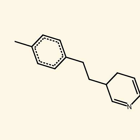 Cc1ccc(CCC2C=NC=CC2)cc1